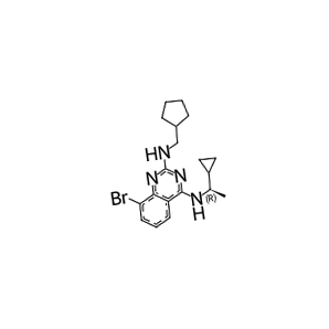 C[C@@H](Nc1nc(NCC2CCCC2)nc2c(Br)cccc12)C1CC1